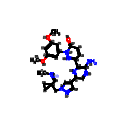 C/N=C\C1(Cn2cc(-c3cnc(N)c(-c4ccc(=O)n(-c5cc(OC)cc(OC)c5)n4)n3)cn2)CC1